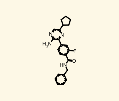 Nc1ncc(C2CCCC2)nc1-c1ccc(C(=O)NCc2ccccc2)c(F)c1